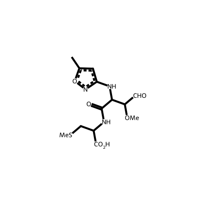 COC(C=O)C(Nc1cc(C)on1)C(=O)NC(CSC)C(=O)O